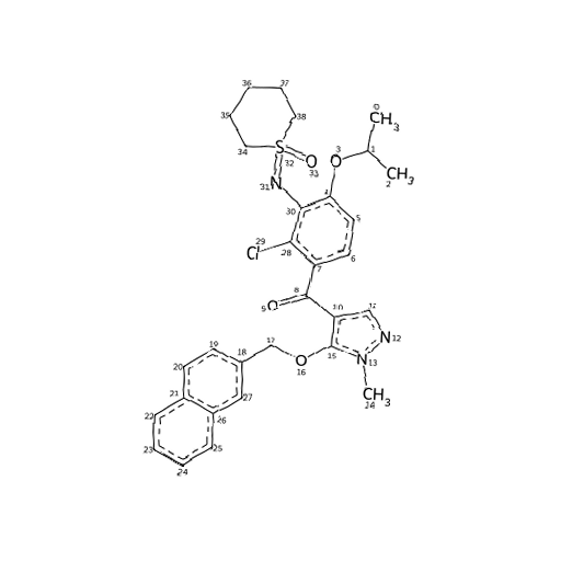 CC(C)Oc1ccc(C(=O)c2cnn(C)c2OCc2ccc3ccccc3c2)c(Cl)c1N=S1(=O)CCCCC1